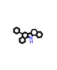 c1ccc(-c2cc3c4c([nH]c3c3ccccc23)-c2ccccc2CC4)cc1